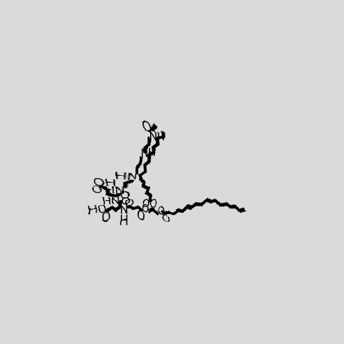 CCCCCCCCCCCCCCCCCC(=O)OCC(COC(=O)CCC(=O)NC(CCC(=O)O)C(=O)NC(CCC(=O)O)C(=O)NCCCNCCCCNCCCNC(C)=O)OC(=O)CCCCCCCCCCCCCCCCC